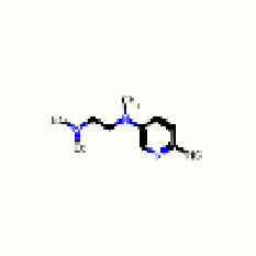 CCN(CC)CCN(C)c1ccc(N=O)nc1